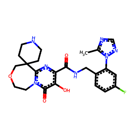 Cc1ncnn1-c1cc(F)ccc1CNC(=O)c1nc2n(c(=O)c1O)CCOCC21CCNCC1